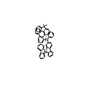 CC1(C)c2ccccc2-c2c(-c3c(-c4ccccc4)cccc3N(c3ccccc3)c3ccc4c(c3)[Si]3(c5ccccc5-c5ccccc53)c3ccccc3-4)cccc21